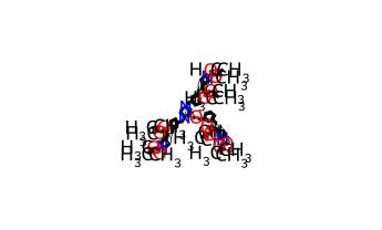 CC(C)(C)OC(=O)[C@@H](Cc1cccc(COC[C@H]2CN(Cc3cccc(C[C@H](C(=O)OC(C)(C)C)[C@H]4CCN(C(=O)OC(C)(C)C)C4)c3)CCN2Cc2cccc(C[C@H](C(=O)OC(C)(C)C)[C@H]3CCN(C(=O)OC(C)(C)C)C3)c2)c1)[C@H]1CCN(C(=O)OC(C)(C)C)C1